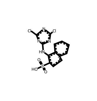 O=S(=O)(O)c1ccc2ccccc2c1Nc1nc(Cl)nc(Cl)n1